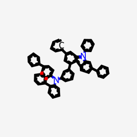 c1ccc(-c2ccc(N(c3cccc(-c4cc(-c5ccccc5)cc5c4c4ccc(-c6ccccc6)cc4n5-c4ccccc4)c3)c3ccccc3-c3ccccc3)cc2)cc1